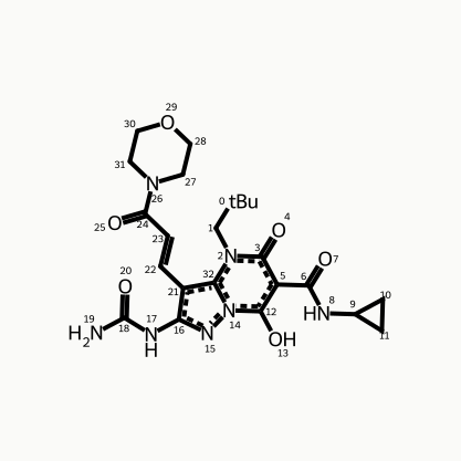 CC(C)(C)Cn1c(=O)c(C(=O)NC2CC2)c(O)n2nc(NC(N)=O)c(C=CC(=O)N3CCOCC3)c12